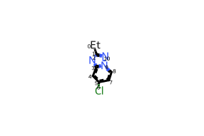 CCc1nc2cc(Cl)ccn2n1